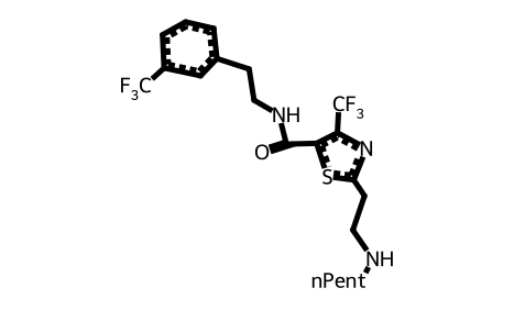 CCCCCNCCc1nc(C(F)(F)F)c(C(=O)NCCc2cccc(C(F)(F)F)c2)s1